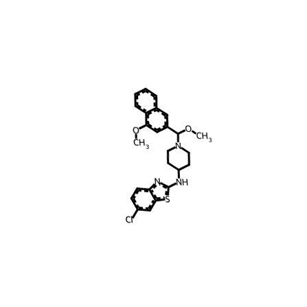 COc1cc(C(OC)N2CCC(Nc3nc4ccc(Cl)cc4s3)CC2)cc2ccccc12